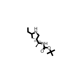 CCC1C[C@@H]([C@H](C)NC(=O)OC(C)(C)C)CN1